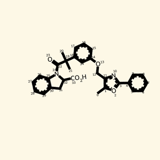 Cc1oc(-c2ccccc2)nc1COc1cccc(C(C)(C)C(=O)N2c3ccccc3CC2C(=O)O)c1